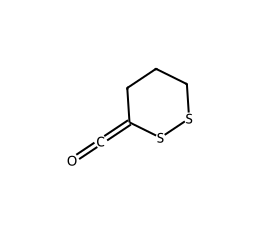 O=C=C1CCCSS1